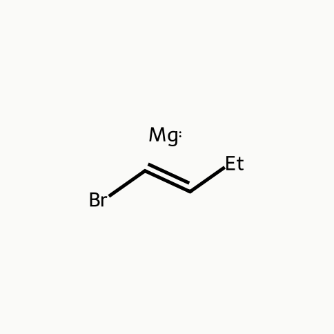 CCC=CBr.[Mg]